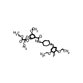 CCOC(=O)C(C)(C)Oc1cc(OC)cc(C(=O)NC2CCN(Cc3cc(OCC)c(F)c(OCC)c3)CC2)c1